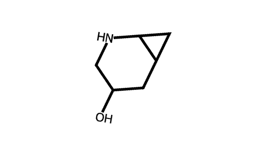 OC1CNC2CC2C1